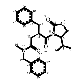 CC(C)C1COC(=O)N1C(=O)[C@@H](CC(=O)N(C)Cc1ccccc1)Cc1ccccc1